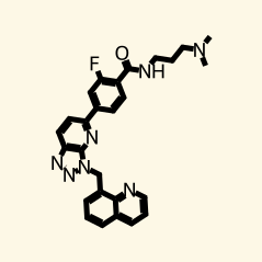 CN(C)CCCNC(=O)c1ccc(-c2ccc3nnn(Cc4cccc5cccnc45)c3n2)cc1F